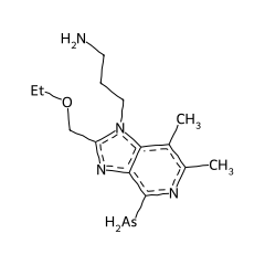 CCOCc1nc2c([AsH2])nc(C)c(C)c2n1CCCN